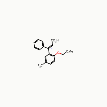 COCOc1ccc(C(F)(F)F)cc1/C(=C/C(=O)O)c1ccccc1